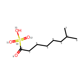 CC(C)CCCCCC(=O)S(=O)(=O)O